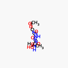 CC(=O)COc1ccc(-n2ccc(NC(=O)N3CCN(C(=O)C(C)(C)NC(=O)O)CC3)nc2=O)cc1